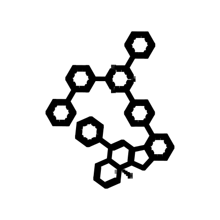 C1=CC2C(c3ccccc3)=CC3=C(Cc4cccc(-c5ccc(-c6nc(-c7ccccc7)nc(-c7cccc(-c8ccccc8)c7)n6)cc5)c43)[C@H]2C=C1